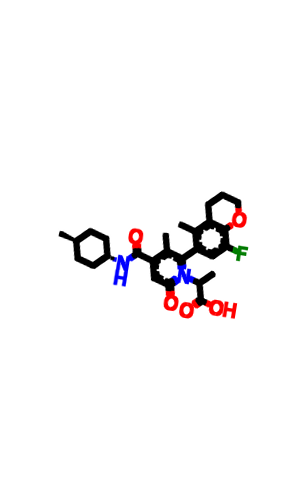 Cc1c(-c2c(C)c(C(=O)N[C@H]3CC[C@H](C)CC3)cc(=O)n2C(C)C(=O)O)cc(F)c2c1CCCO2